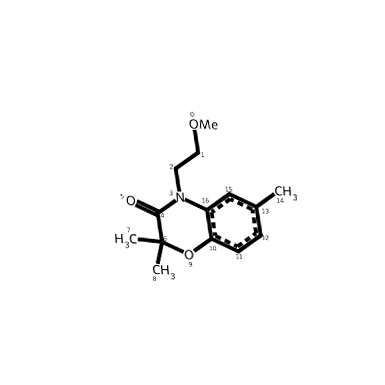 COCCN1C(=O)C(C)(C)Oc2ccc(C)cc21